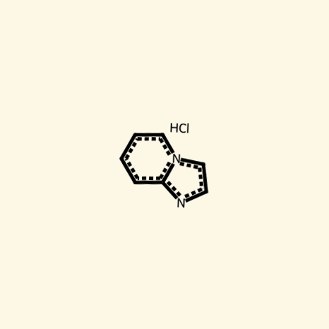 Cl.c1ccn2ccnc2c1